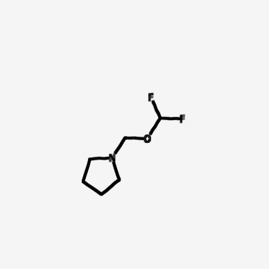 FC(F)OCN1CCCC1